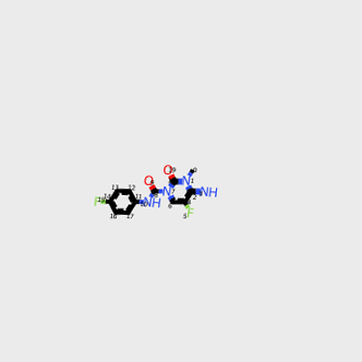 Cn1c(=N)c(F)cn(C(=O)Nc2ccc(F)cc2)c1=O